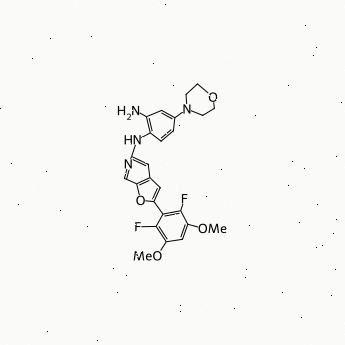 COc1cc(OC)c(F)c(-c2cc3cc(Nc4ccc(N5CCOCC5)cc4N)ncc3o2)c1F